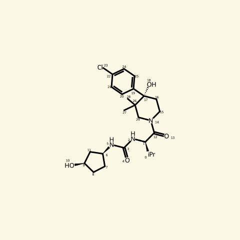 CC(C)[C@@H](NC(=O)N[C@H]1CC[C@@H](O)C1)C(=O)N1CC[C@](O)(c2ccc(Cl)cc2)C(C)(C)C1